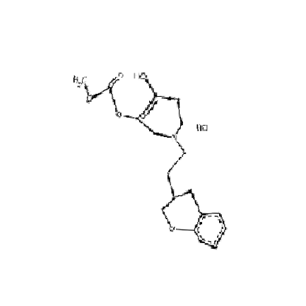 COC(=O)OC1=C(O)CCN(CCC2COc3ccccc3C2)C1.Cl